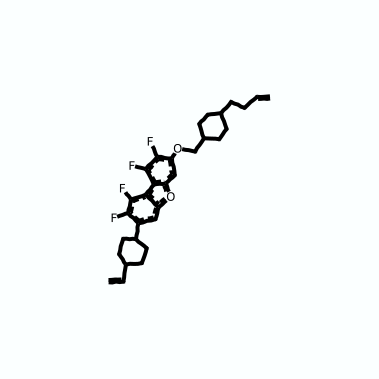 C=CCCC1CCC(COc2cc3oc4cc(C5CCC(C=C)CC5)c(F)c(F)c4c3c(F)c2F)CC1